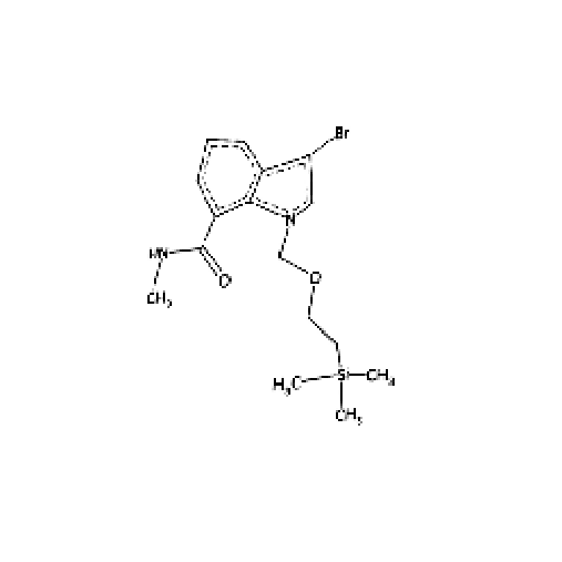 CNC(=O)c1cccc2c(Br)cn(COCC[Si](C)(C)C)c12